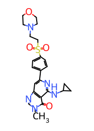 Cn1cnc2cc(-c3ccc(S(=O)(=O)CCN4CCOCC4)cc3)nc(NC3CC3)c2c1=O